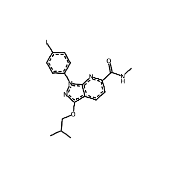 CNC(=O)c1ccc2c(OCC(C)C)nn(-c3ccc(I)cc3)c2n1